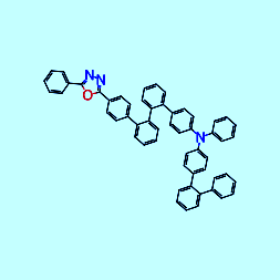 c1ccc(-c2nnc(-c3ccc(-c4ccccc4-c4ccccc4-c4ccc(N(c5ccccc5)c5ccc(-c6ccccc6-c6ccccc6)cc5)cc4)cc3)o2)cc1